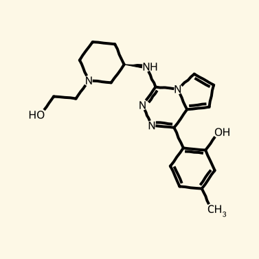 Cc1ccc(-c2nnc(N[C@@H]3CCCN(CCO)C3)n3cccc23)c(O)c1